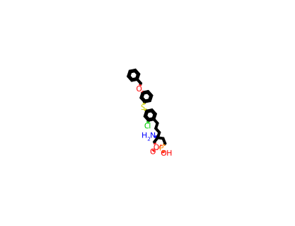 NC1(CCCc2ccc(Sc3cccc(OCc4ccccc4)c3)cc2Cl)CCP(O)[O+]([O-])C1